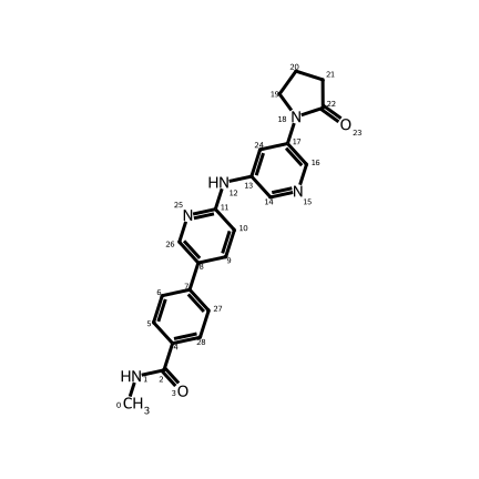 CNC(=O)c1ccc(-c2ccc(Nc3cncc(N4CCCC4=O)c3)nc2)cc1